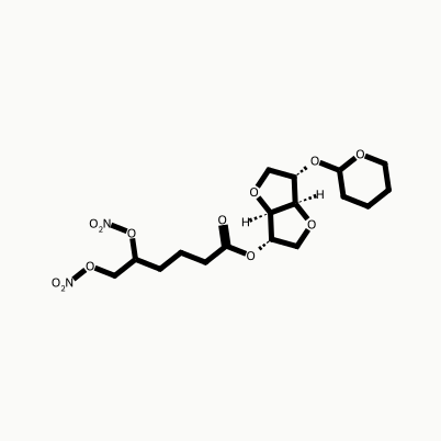 O=C(CCCC(CO[N+](=O)[O-])O[N+](=O)[O-])O[C@H]1CO[C@H]2[C@@H]1OC[C@@H]2OC1CCCCO1